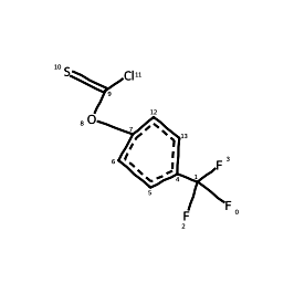 FC(F)(F)c1ccc(OC(=S)Cl)cc1